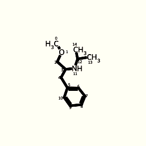 COCC(Cc1ccccc1)NC(C)C